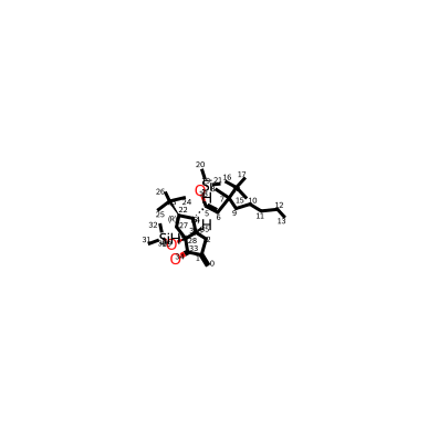 C=C1C[C@H]2[C@@H](C(=CC(C)(CCCCC)C(C)(C)C)O[SiH](C)C)[C@H](C(C)(C)C)C[C@@]2(O[SiH](C)C)C1=O